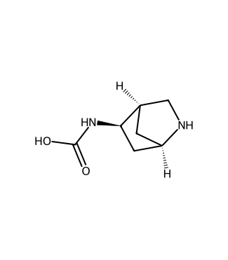 O=C(O)N[C@@H]1C[C@H]2C[C@@H]1CN2